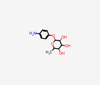 CC1O[C@@H](Oc2ccc(N)cc2)[C@@H](O)C(O)[C@H]1O